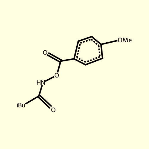 CCC(C)C(=O)NOC(=O)c1ccc(OC)cc1